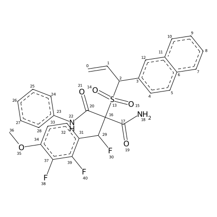 C=CC(c1ccc2ccccc2c1)S(=O)(=O)C(C(N)=O)(C(=O)Nc1ccccc1)C(F)c1ccc(OC)c(F)c1F